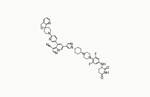 N#Cc1cnn2cc(-c3cnn([C@H]4CC[C@H](N5CCN(c6c(F)cc(NC7CCC(=O)NC7=O)cc6F)CC5)CC4)c3)cc(-c3ccc(N4CCC5(CC4)OCc4cccnc45)nc3)c12